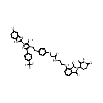 O=C(COc1ccc(CCc2c(-c3ccc(C(F)(F)F)cc3)nn(-c3nc4cc(Cl)ccc4[nH]3)c2O)cc1)NCCNc1cccc2c1C(=O)N(C1CCC(=O)NC1=O)C2=O